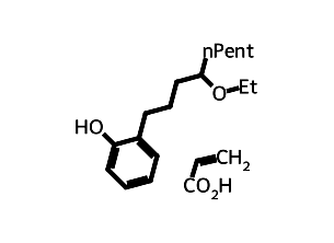 C=CC(=O)O.CCCCCC(CCCc1ccccc1O)OCC